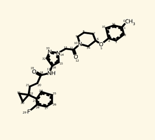 Cc1ccc(OC2CCCN(C(=O)Cn3cc(NC(=O)CCC4(c5ccccc5F)CC4)cn3)C2)cc1